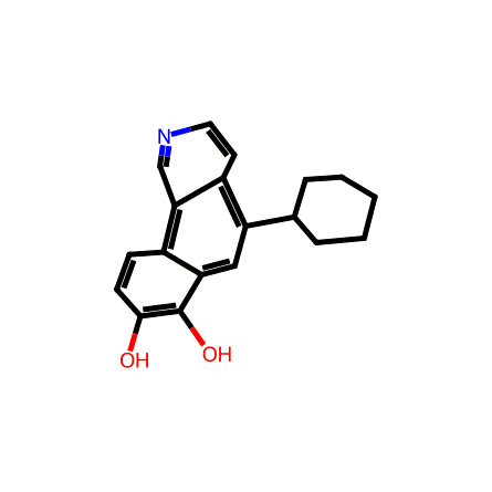 Oc1ccc2c(cc(C3CCCCC3)c3ccncc32)c1O